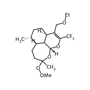 CCOCC1=C(C(F)(F)F)O[C@@H]2OC(C)(OOC)CC[C@@H]3C2[C@H]1CC[C@H]3C